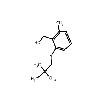 Cc1cccc(NCC(C)(C)C)c1CO